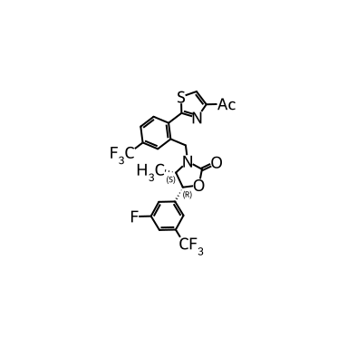 CC(=O)c1csc(-c2ccc(C(F)(F)F)cc2CN2C(=O)O[C@H](c3cc(F)cc(C(F)(F)F)c3)[C@@H]2C)n1